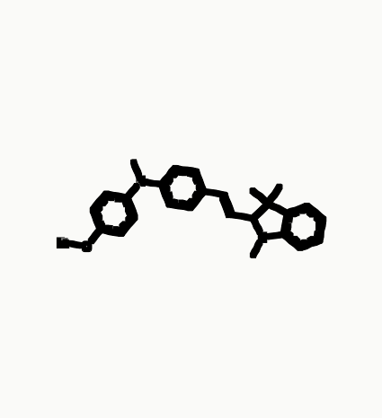 CCOc1ccc(N(C)c2ccc(/C=C/C3N(C)c4ccccc4C3(C)C)cc2)cc1